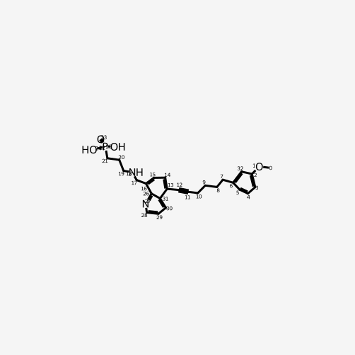 COc1cccc(CCCCC#Cc2ccc(CNCCCP(=O)(O)O)c3ncccc23)c1